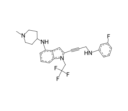 CN1CCC(Nc2cccc3c2cc(C#CCNc2cccc(F)c2)n3CC(F)(F)F)CC1